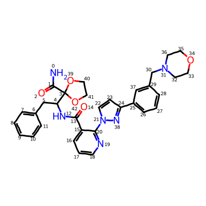 NC(=O)C1(C(Cc2ccccc2)NC(=O)c2cccnc2-n2ccc(-c3cccc(CN4CCOCC4)c3)n2)OCCO1